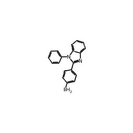 Bc1ccc(-c2nc3ccccc3n2-c2ccccc2)cc1